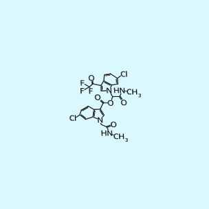 CNC(=O)Cn1cc(C(=O)OC(C(=O)NC)n2cc(C(=O)C(F)(F)F)c3ccc(Cl)cc32)c2ccc(Cl)cc21